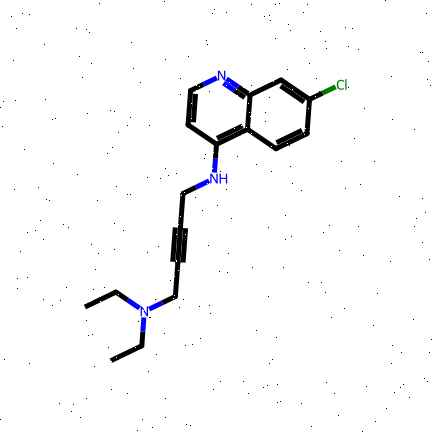 CCN(CC)CC#CCNc1ccnc2cc(Cl)ccc12